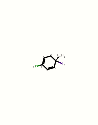 C[C@@]1(I)C=CC(F)=CC1